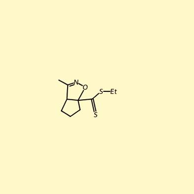 CCSC(=S)C12CCCC1C(C)=NO2